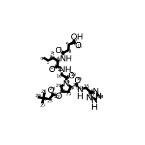 CC[C@H](C)[C@H](NC(=O)CCC(=O)O)C(=O)NCC(=O)N1C[C@H](OC(=O)CC(C)(C)C)C[C@H]1C(=O)NCc1nn[nH]n1